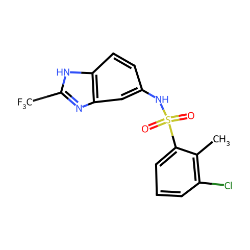 Cc1c(Cl)cccc1S(=O)(=O)Nc1ccc2[nH]c(C(F)(F)F)nc2c1